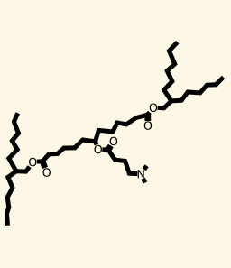 CCCCCCC(CCCCCC)COC(=O)CCCCCC(CCCCCC(=O)OCC(CCCCCC)CCCCCC)OC(=O)CCCN(C)C